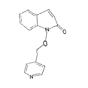 O=c1ccc2ccccc2n1OCc1ccncc1